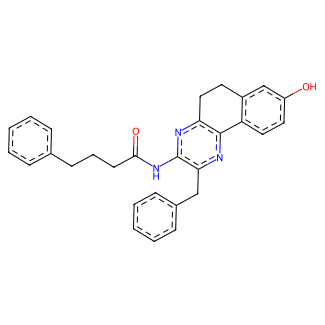 O=C(CCCc1ccccc1)Nc1nc2c(nc1Cc1ccccc1)-c1ccc(O)cc1CC2